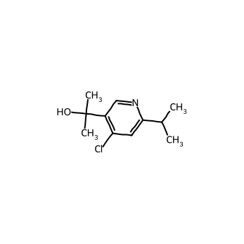 CC(C)c1cc(Cl)c(C(C)(C)O)cn1